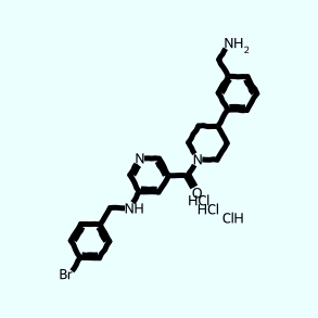 Cl.Cl.Cl.NCc1cccc(C2CCN(C(=O)c3cncc(NCc4ccc(Br)cc4)c3)CC2)c1